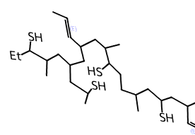 C/C=C/C(CC(CC(C)S)CC(C)C(S)CC)CC(C)C(S)CCC(C)CC(S)CC(C)/C=C/CC